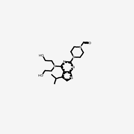 CC(C)c1csc2nc(N3CCN(C=O)CC3)nc(N(CCO)CCO)c12